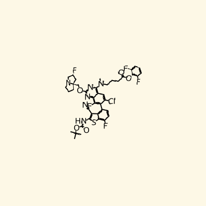 CN(CCCC(=O)Oc1c(F)cccc1F)c1nc(OC[C@@]23CCCN2C[C@H](F)C3)nc2c(F)c(-c3ccc(F)c4sc(NC(=O)OC(C)(C)C)c(C#N)c34)c(Cl)cc12